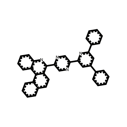 c1ccc(-c2cc(-c3ccccc3)nc(-c3cnc(-c4nc5ccccc5c5c4ccc4ccccc45)cn3)c2)cc1